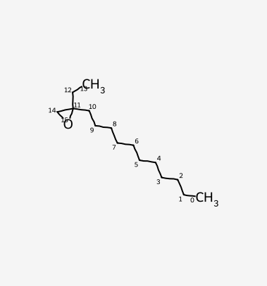 CCCCCCCCCCCC1(CC)CO1